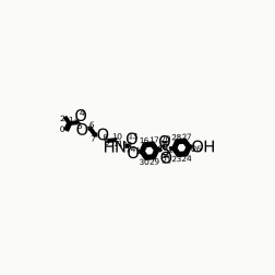 C=C(C)C(=O)OCCOCCNC(=O)Oc1ccc(S(=O)(=O)c2ccc(O)cc2)cc1